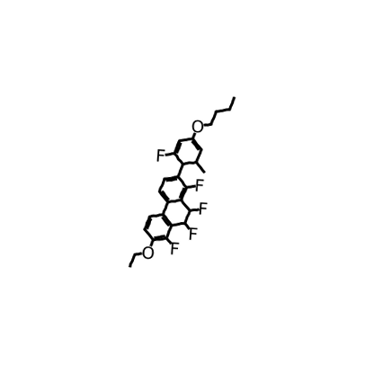 CCCCOC1=CC(C)C(c2ccc3c(c2F)C(F)C(F)c2c-3ccc(OCC)c2F)C(F)=C1